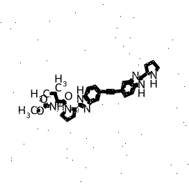 COC(=O)N[C@H](C(=O)N1CCC[C@H]1c1nc2cc(C#Cc3ccc4[nH]c(C5CCCN5)nc4c3)ccc2[nH]1)C(C)C